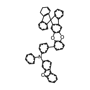 C1=CC2=C(CC1)c1ccccc1C21c2ccccc2-c2cc3c(cc21)Oc1c(cccc1-c1cccc(N(c2ccccc2)c2ccc4c(c2)oc2ccccc24)c1)O3